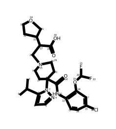 CC(C)c1ccnn1C1(C(=O)Nc2ccc(Cl)cc2OC(F)F)CCN(CC(C(=O)O)C2CCOC2)CC1